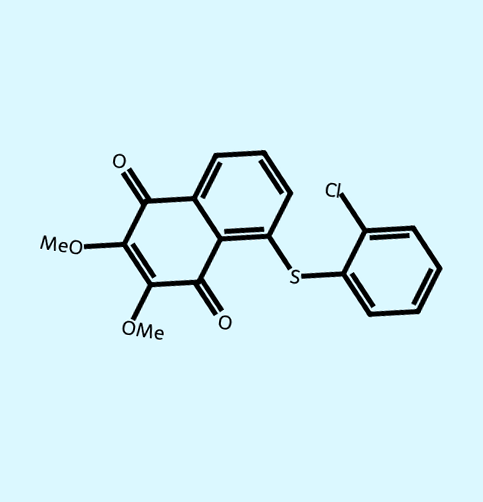 COC1=C(OC)C(=O)c2c(Sc3ccccc3Cl)cccc2C1=O